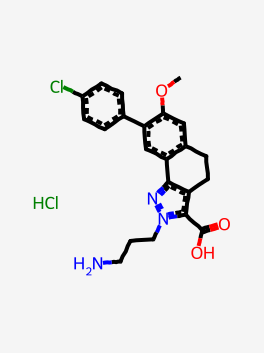 COc1cc2c(cc1-c1ccc(Cl)cc1)-c1nn(CCCN)c(C(=O)O)c1CC2.Cl